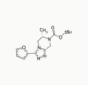 C[C@H]1Cn2c(nnc2-c2ccco2)CN1C(=O)OC(C)(C)C